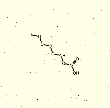 O=S(O)ONOOOOI